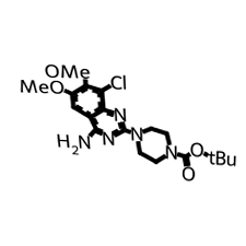 COc1cc2c(N)nc(N3CCN(C(=O)OC(C)(C)C)CC3)nc2c(Cl)c1OC